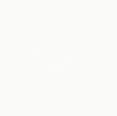 CCCCC(=O)OCC1=C(P(c2ccccc2)c2ccccc2)C=CC1